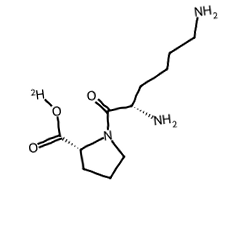 [2H]OC(=O)[C@H]1CCCN1C(=O)[C@@H](N)CCCCN